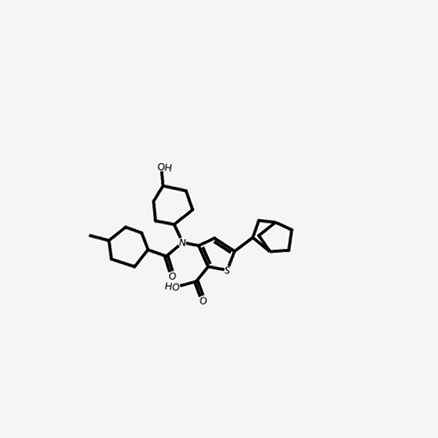 CC1CCC(C(=O)N(c2cc(C3CC4CCC3C4)sc2C(=O)O)C2CCC(O)CC2)CC1